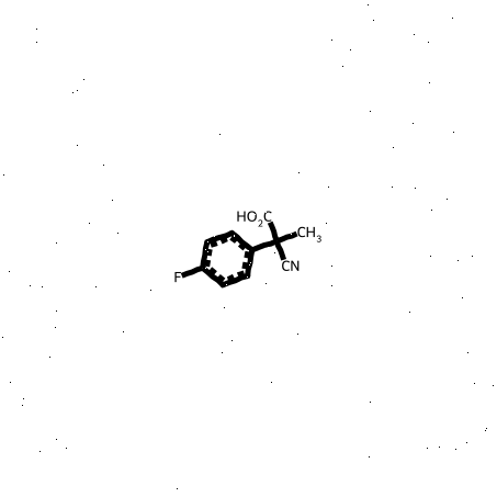 CC(C#N)(C(=O)O)c1ccc(F)cc1